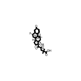 C[C@@H]1C[C@H]2[C@@H]3C[C@H](F)C4=CC(=O)C=C[C@]4(C)[C@@]34O[C@H]4C[C@]2(C)[C@@]1(O)C(=O)C(O)CC(C)(C)C(=O)O